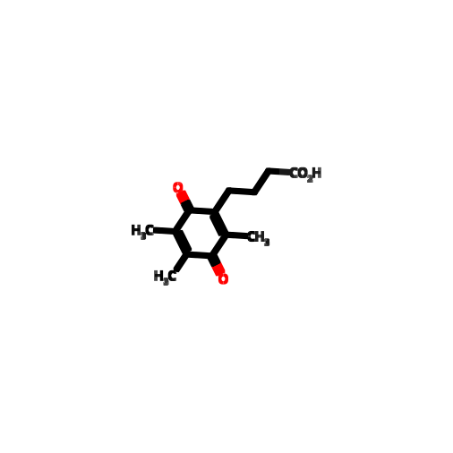 CC1=C(C)C(=O)C(CCCC(=O)O)=C(C)C1=O